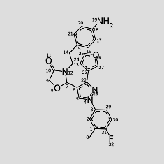 Cc1cc(-n2cc(C3OCC(=O)N3CCc3ccc(N)cc3)c(-c3ccoc3)n2)ccc1F